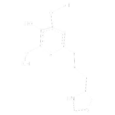 COc1cc(CCCC2CSCN2)cc(OC)c1O